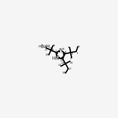 CCC(C)(C)c1nc(C(C)(C)C)[nH]c1C(C)(C)CC.[BaH2]